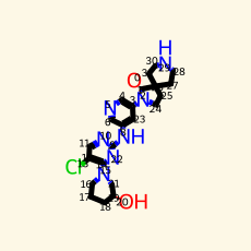 O=C1N(c2cncc(Nc3ncc(Cl)c(N4CCC[C@@H](O)C4)n3)c2)CCC12CCNCC2